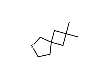 CC1(C)CC2(CCSC2)C1